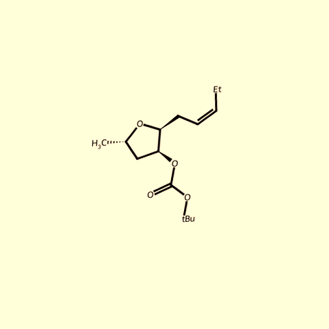 CC/C=C\C[C@@H]1O[C@@H](C)C[C@@H]1OC(=O)OC(C)(C)C